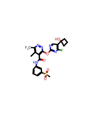 Cc1c(C(F)(F)F)nnc(Oc2ncc(C3(O)CCC3)c(F)n2)c1C(=O)Nc1cccc(S(C)(=O)=O)c1